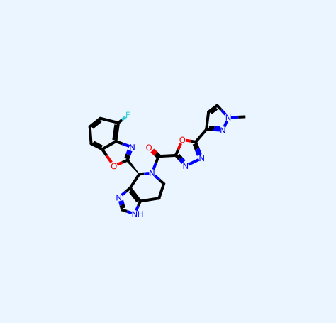 Cn1ccc(-c2nnc(C(=O)N3CCc4[nH]cnc4[C@H]3c3nc4c(F)cccc4o3)o2)n1